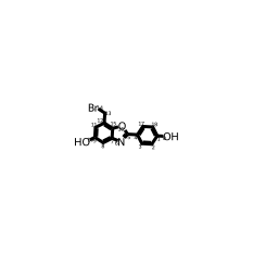 Oc1ccc(-c2nc3cc(O)cc(CBr)c3o2)cc1